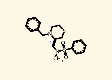 CN(/C=C1\CSCCN1Cc1ccccc1)S(=O)(=O)c1ccccc1